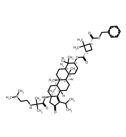 CC(C)C1=C2[C@H]3CC[C@@H]4[C@@]5(C)CC[C@H](OC(=O)[C@H]6C[C@@H](C(=O)OCc7ccccc7)C6(C)C)C(C)(C)[C@@H]5CC[C@@]4(C)[C@]3(C)CC[C@@]2(NC(=O)C(C)(C)NCCN(C)C)CC1=O